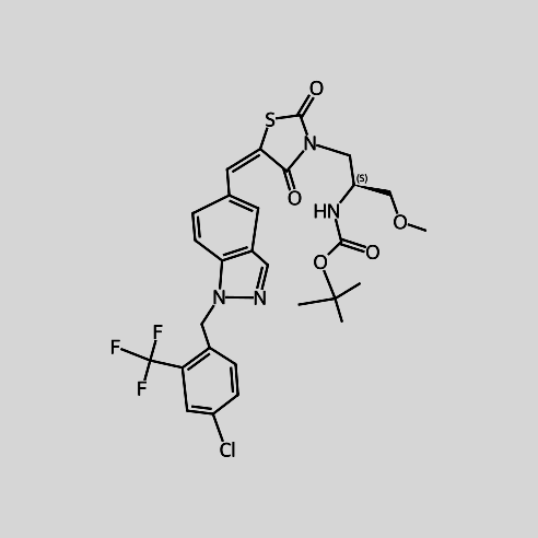 COC[C@H](CN1C(=O)SC(=Cc2ccc3c(cnn3Cc3ccc(Cl)cc3C(F)(F)F)c2)C1=O)NC(=O)OC(C)(C)C